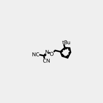 CC(C)(C)c1ccccc1CON=C(C#N)C#N